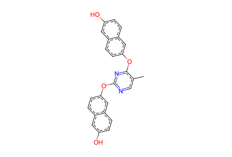 Cc1cnc(Oc2ccc3cc(O)ccc3c2)nc1Oc1ccc2cc(O)ccc2c1